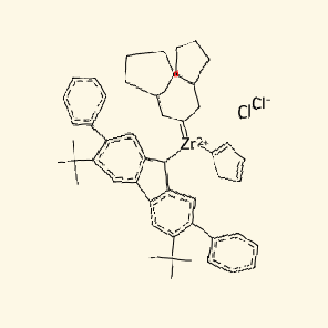 CC(C)(C)c1cc2c(cc1-c1ccccc1)[CH]([Zr+2]([C]1=CC=CC1)=[C](CC1CCCC1)CC1CCCC1)c1cc(-c3ccccc3)c(C(C)(C)C)cc1-2.[Cl-].[Cl-]